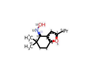 CC(C)c1cc2c(o1)CCC(C)(C)/C2=N/O